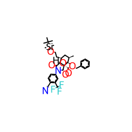 C[C@@H]1C[C@]2(CCO[Si](C)(C)C(C)(C)C)O[C@@]1(C)[C@@]1(C(=O)OCc3ccccc3)C(=O)N(c3ccc(C#N)c(C(F)(F)F)c3)C(=O)[C@@H]21